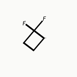 FC1(F)[CH]CC1